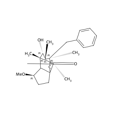 CO[C@@H]1CCC23CC[C@@H](C)[C@](C)(C12)[C@H](O)C[C@@](C)(Cc1ccccc1)C(=O)[C@@H]3C